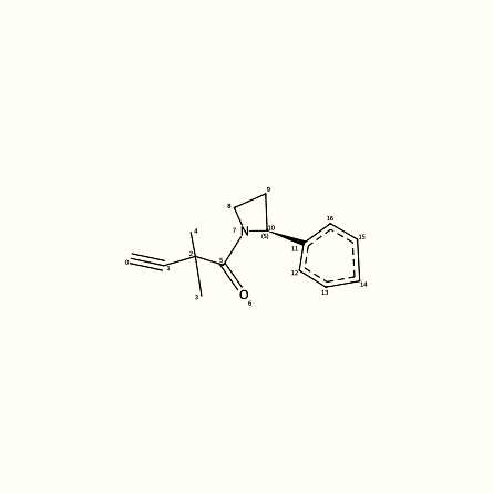 C#CC(C)(C)C(=O)N1CC[C@H]1c1ccccc1